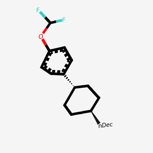 CCCCCCCCCC[C@H]1CC[C@H](c2ccc(OC(F)F)cc2)CC1